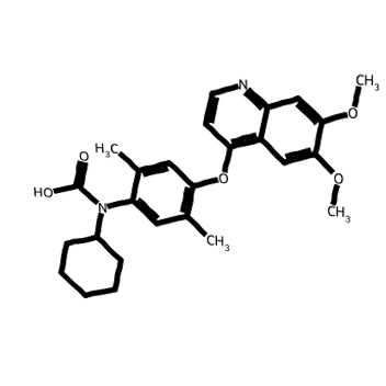 COc1cc2nccc(Oc3cc(C)c(N(C(=O)O)C4CCCCC4)cc3C)c2cc1OC